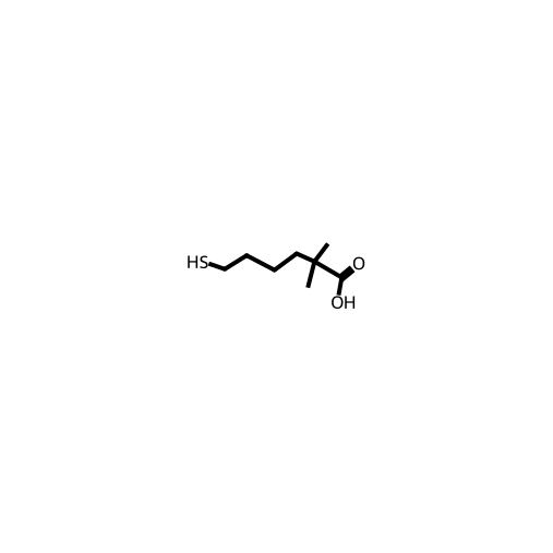 CC(C)(CCCCS)C(=O)O